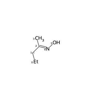 CC[CH]C(C)=NO